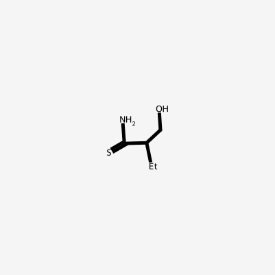 CCC(CO)C(N)=S